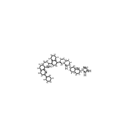 C1=CC2=CC=C(c3ccc4ccc(C5N=CNN5)nc4c3)NC2C=C1c1ccc(C2C=Cc3ccc4ccc(-c5ccccc5)nc4c3N2)c2ccccc12